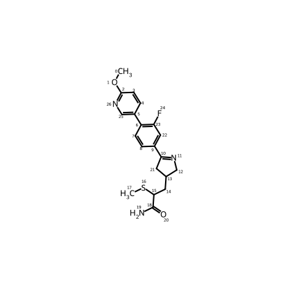 COc1ccc(-c2ccc(C3=NCC(CC(SC)C(N)=O)C3)cc2F)cn1